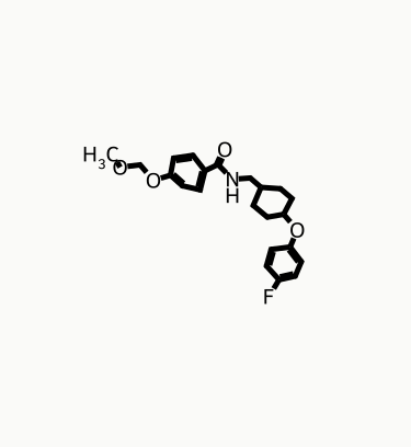 COCOc1ccc(C(=O)NCC2CCC(Oc3ccc(F)cc3)CC2)cc1